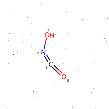 O=C=NO